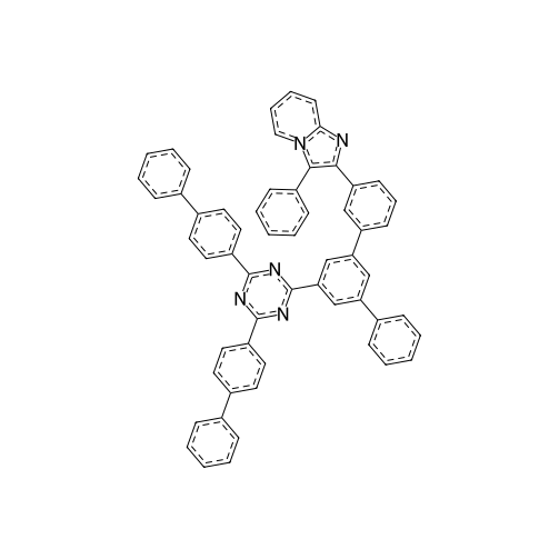 c1ccc(-c2ccc(-c3nc(-c4ccc(-c5ccccc5)cc4)nc(-c4cc(-c5ccccc5)cc(-c5cccc(-c6nc7ccccn7c6-c6ccccc6)c5)c4)n3)cc2)cc1